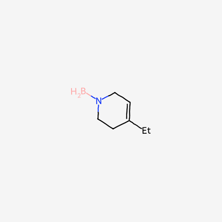 BN1CC=C(CC)CC1